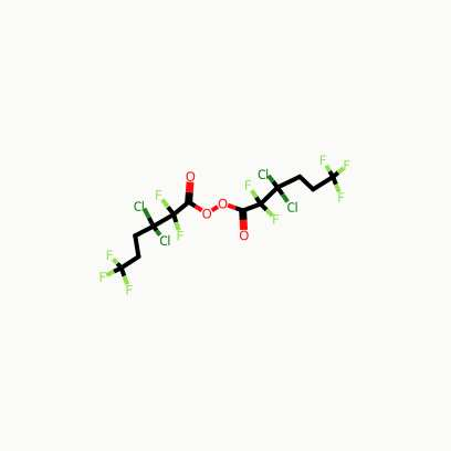 O=C(OOC(=O)C(F)(F)C(Cl)(Cl)CCC(F)(F)F)C(F)(F)C(Cl)(Cl)CCC(F)(F)F